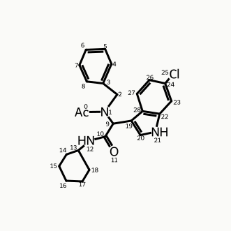 CC(=O)N(Cc1ccccc1)C(C(=O)NC1CCCCC1)c1c[nH]c2cc(Cl)ccc12